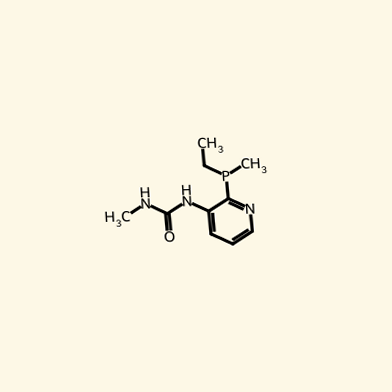 CCP(C)c1ncccc1NC(=O)NC